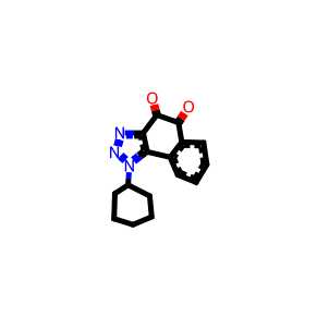 O=C1C(=O)c2nnn(C3CCCCC3)c2-c2ccccc21